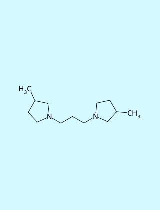 CC1CCN(CCCN2CCC(C)C2)C1